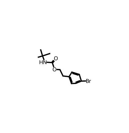 CC(C)(C)NC(=O)OCCc1ccc(Br)cc1